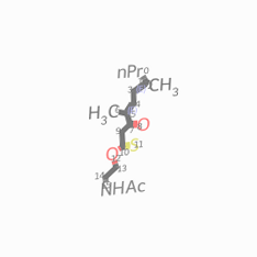 CCC/C(C)=C/C=C(\C)C(=O)CC(=S)OCCNC(C)=O